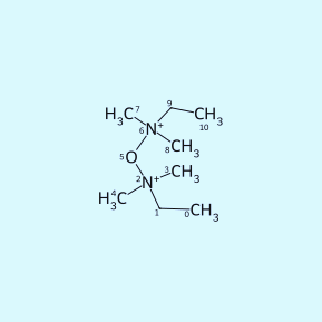 CC[N+](C)(C)O[N+](C)(C)CC